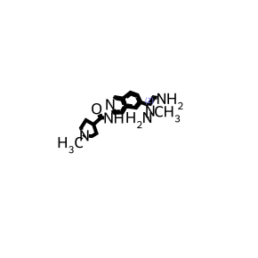 CN1CCC(C(=O)Nc2cc3cc(/C(=C/N)N(C)N)ccc3cn2)CC1